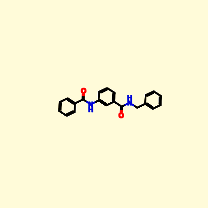 O=C(NCc1ccccc1)c1cccc(NC(=O)c2ccccc2)c1